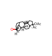 CC(=O)O[C@]1(C(C)=O)CC[C@H]2[C@@H]3CC4CC[C@@H]5C[C@H]([C@H]3CC[C@@]21C)[C@H]4CC5=O